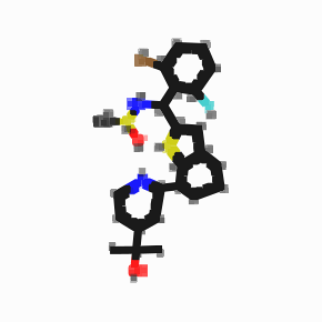 CC(C)(O)c1ccnc(-c2cccc3cc(C(N[S@@+]([O-])C(C)(C)C)c4c(F)cccc4Br)sc23)c1